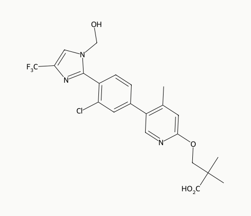 Cc1cc(OCC(C)(C)C(=O)O)ncc1-c1ccc(-c2nc(C(F)(F)F)cn2CO)c(Cl)c1